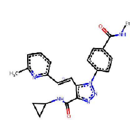 CCNC(=O)c1ccc(-n2nnc(C(=O)NC3CC3)c2/C=C/c2cccc(C)n2)cc1